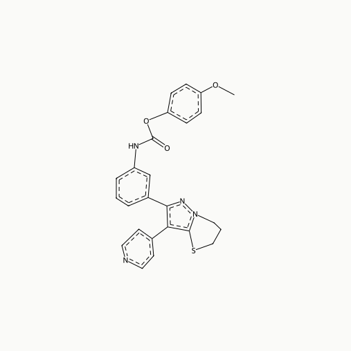 COc1ccc(OC(=O)Nc2cccc(-c3nn4c(c3-c3ccncc3)SCCC4)c2)cc1